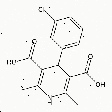 CC1=C(C(=O)O)C(c2cccc(Cl)c2)C(C(=O)O)=C(C)N1